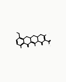 NC(=O)C1=C(O)CC2CC3Cc4c(CO)ccc(O)c4C(=O)C3=C(O)C2C1=O